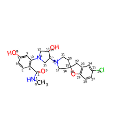 CNC(=O)c1ccc(O)cc1N1CC(O)C(N2CCC3(CC2)Cc2cc(Cl)ccc2O3)C1